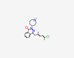 C/C(Cl)=C\C=C(/C)Cc1nn(C2CCCN(C)CC2)c(=O)c2ccccc12